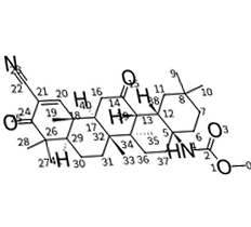 COC(=O)N[C@]12CCC(C)(C)C[C@H]1[C@H]1C(=O)C[C@@H]3[C@@]4(C)C=C(C#N)C(=O)C(C)(C)[C@@H]4CC[C@@]3(C)[C@]1(C)CC2